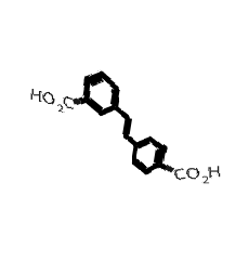 O=C(O)c1ccc(/C=C/c2cccc(C(=O)O)c2)cc1